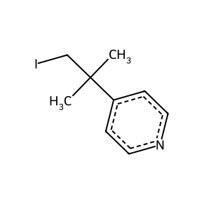 CC(C)(CI)c1ccncc1